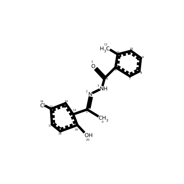 C/C(=N\NC(=O)c1ccccc1C)c1cc(Cl)ccc1O